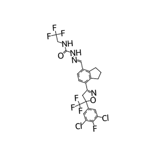 O=C(NCC(F)(F)F)NN=Cc1ccc(C2=NOC(c3cc(Cl)c(F)c(Cl)c3)(C(F)(F)F)C2)c2c1CCC2